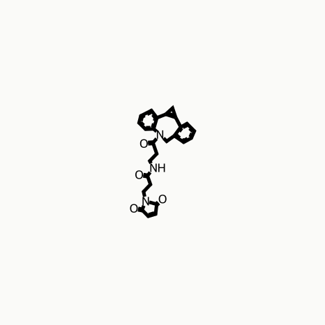 O=C(CCN1C(=O)C=CC1=O)NCCC(=O)N1Cc2ccccc2C2=C(C2)c2ccccc21